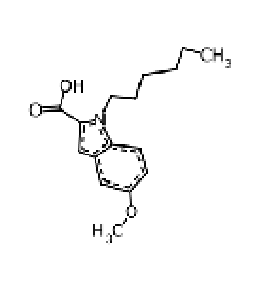 CCCCCCn1c(C(=O)O)cc2cc(OC)ccc21